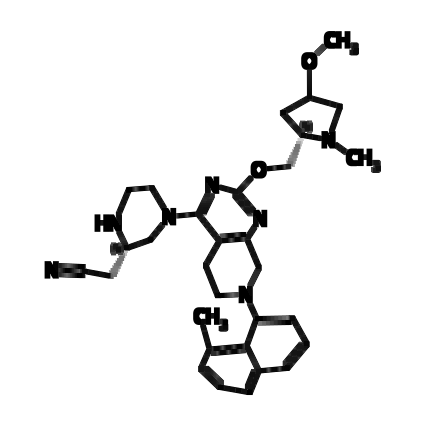 COC1C[C@@H](COc2nc3c(c(N4CCN[C@@H](CC#N)C4)n2)CCN(c2cccc4cccc(C)c24)C3)N(C)C1